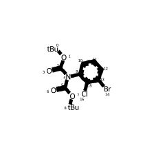 CC(C)(C)OC(=O)N(C(=O)OC(C)(C)C)c1cccc(Br)c1Cl